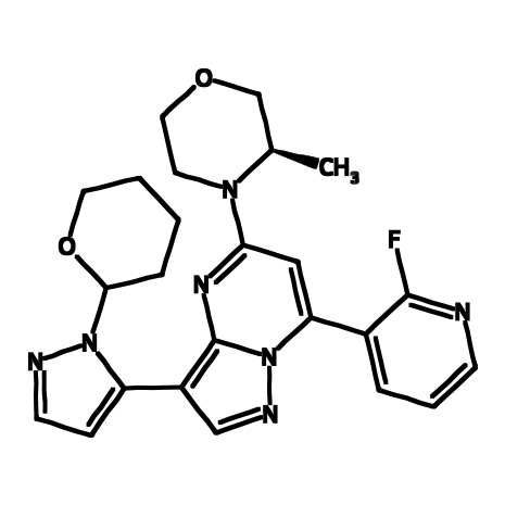 C[C@@H]1COCCN1c1cc(-c2cccnc2F)n2ncc(-c3ccnn3C3CCCCO3)c2n1